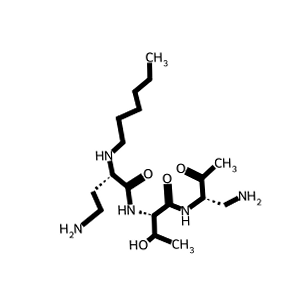 CCCCCCN[C@@H](CCN)C(=O)N[C@H](C(=O)N[C@@H](CN)C(C)=O)C(C)O